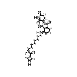 CN(CCCCCCCCNc1cccc2c1C(=O)N(C1CCC(=O)NC1=O)C2=O)C(=O)C1CNC1